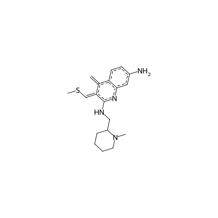 C=c1/c(=C\SC)c(NCC2CCCCN2C)nc2cc(N)ccc12